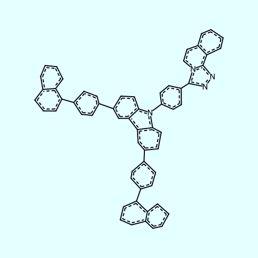 c1ccc2c(-c3ccc(-c4ccc5c(c4)c4cc(-c6ccc(-c7cccc8ccccc78)cc6)ccc4n5-c4ccc(-c5nnc6c7ccccc7ccn56)cc4)cc3)cccc2c1